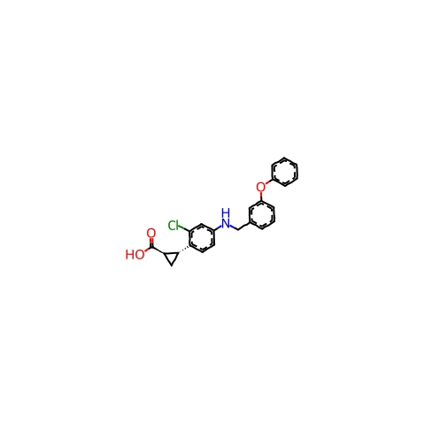 O=C(O)[C@@H]1C[C@H]1c1ccc(NCc2cccc(Oc3ccccc3)c2)cc1Cl